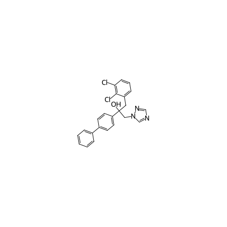 OC(Cc1cccc(Cl)c1Cl)(Cn1cncn1)c1ccc(-c2ccccc2)cc1